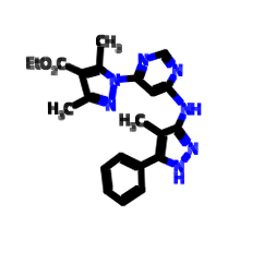 CCOC(=O)c1c(C)nn(-c2cc(Nc3n[nH]c(-c4ccccc4)c3C)ncn2)c1C